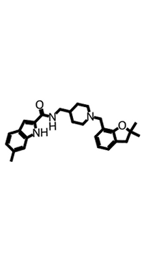 Cc1ccc2cc(C(=O)NCC3CCN(Cc4cccc5c4OC(C)(C)C5)CC3)[nH]c2c1